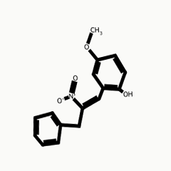 COc1ccc(O)c(C=C(Cc2ccccc2)[N+](=O)[O-])c1